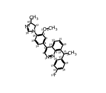 COc1cc(-c2cnnc3c(C(C)c4ccc(F)cc4)cccc23)ccc1N1C=NC(C)C1